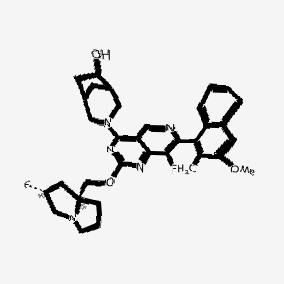 COc1cc2ccccc2c(-c2ncc3c(N4CC5CC(O)C(C5)C4)nc(OC[C@@]45CCCN4C[C@H](F)C5)nc3c2F)c1C